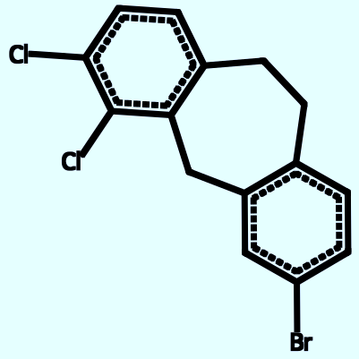 Clc1ccc2c(c1Cl)Cc1cc(Br)ccc1CC2